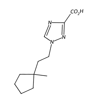 CC1(CCn2cnc(C(=O)O)n2)CCCC1